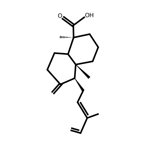 C=C/C(C)=C/C[C@H]1C(=C)CCC2[C@]1(C)CCC[C@]2(C)C(=O)O